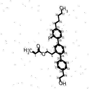 C=CC(=O)OCCc1cc(-c2ccc(CCCCC)cc2F)ccc1-c1ccc(CCO)cc1